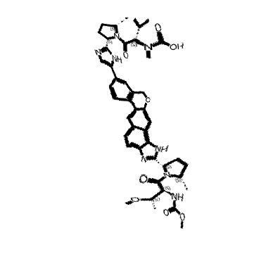 COC(=O)N[C@H](C(=O)N1[C@@H](C)CC[C@H]1c1nc2ccc3cc4c(cc3c2[nH]1)OCc1cc(-c2cnc([C@@H]3CC[C@H](C)N3C(=O)[C@H](C(C)C)N(C)C(=O)O)[nH]2)ccc1-4)[C@H](C)OC